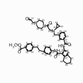 COC(=O)c1ccc(CCc2ccc(NC(=O)c3c(NC(=O)c4cccc(CN(CC(=O)N5CCN(CC=O)CC5)C5CC5)c4)sc4c3CCCC4)cc2)cc1